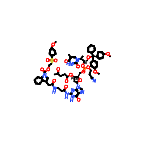 COc1ccc(C(OC[C@H](OP(OCCC#N)OC[C@H]2OC(n3cnc4c(=O)[nH]c(NC(=O)CCNC(=O)Cc5cn(C(=O)OCCS(=O)(=O)c6ccc(OC)cc6)c6ccccc56)nc43)C[C@H]2OC(=O)CCC(C)=O)C(C)n2cc(C)c(=O)[nH]c2=O)(c2ccccc2)c2ccc(OC)cc2)cc1